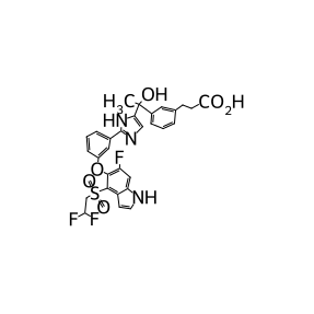 CC(O)(c1cccc(CCC(=O)O)c1)c1cnc(-c2cccc(Oc3c(F)cc4[nH]ccc4c3S(=O)(=O)CC(F)F)c2)[nH]1